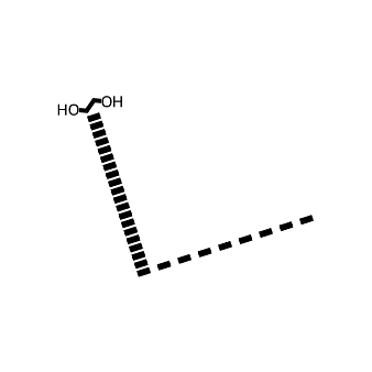 C=C.C=C.C=C.C=C.C=C.C=C.C=C.C=C.C=C.C=C.C=C.C=C.C=C.C=C.C=C.C=C.C=C.C=C.C=C.C=C.C=C.C=C.C=C.C=C.C=C.C=C.C=C.C=C.OCCO